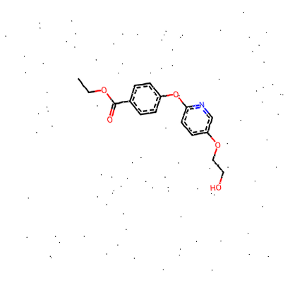 CCOC(=O)c1ccc(Oc2ccc(OCCO)cn2)cc1